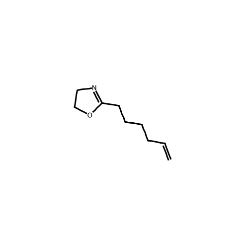 C=CCCCCC1=NCCO1